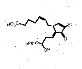 CCCCC[C@H](O)C/C=C1/C(=O)C(CC)=C[C@@H]1C/C=C\CCCC(=O)O